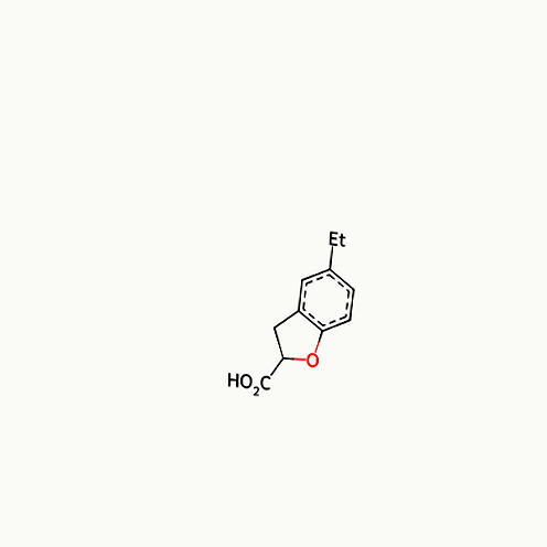 CCc1ccc2c(c1)CC(C(=O)O)O2